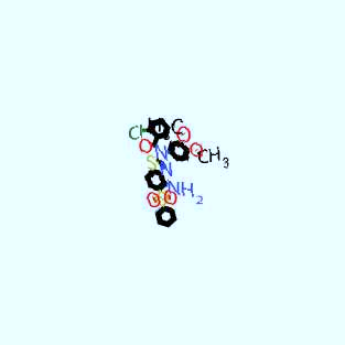 COc1ccc(N(C(=O)c2ccccc2Cl)c2nc3c(N)c(S(=O)(=O)c4ccccc4)ccc3s2)cc1OC